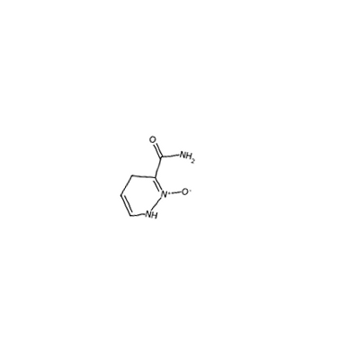 NC(=O)C1=[N+]([O-])NC=CC1